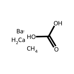 C.O=C(O)O.[Ba].[CaH2]